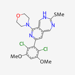 COc1cc(OC)c(Cl)c(-c2cc3c(c(N4CCOCC4)n2)=CNC(SC)=NC=3)c1Cl